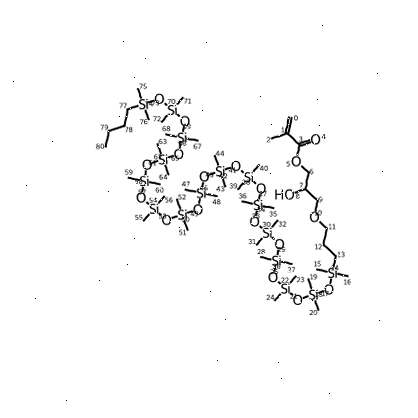 C=C(C)C(=O)OCC(O)COCCC[Si](C)(C)O[Si](C)(C)O[Si](C)(C)O[Si](C)(C)O[Si](C)(C)O[Si](C)(C)O[Si](C)(C)O[Si](C)(C)O[Si](C)(C)O[Si](C)(C)O[Si](C)(C)O[Si](C)(C)O[Si](C)(C)O[Si](C)(C)O[Si](C)(C)O[Si](C)(C)CCCC